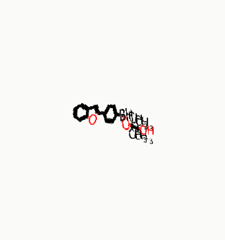 CC(C)(O)C(C)(C)OBc1ccc(-c2cc3ccccc3o2)cc1